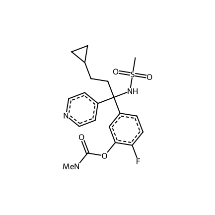 CNC(=O)Oc1cc(C(CCC2CC2)(NS(C)(=O)=O)c2ccncc2)ccc1F